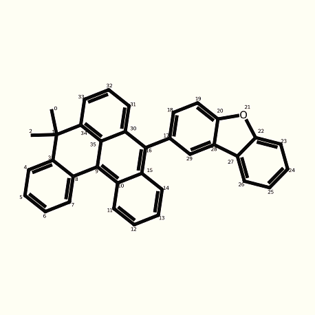 CC1(C)c2ccccc2-c2c3ccccc3c(-c3ccc4oc5ccccc5c4c3)c3cccc1c23